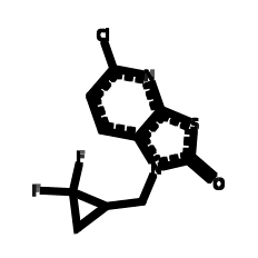 O=c1sc2nc(Cl)ccc2n1CC1CC1(F)F